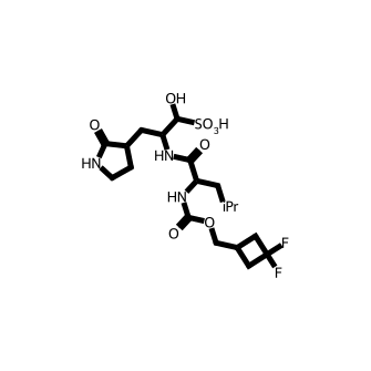 CC(C)CC(NC(=O)OCC1CC(F)(F)C1)C(=O)NC(CC1CCNC1=O)C(O)S(=O)(=O)O